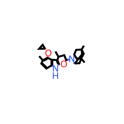 Cc1ccc2[nH]cc(C(C)CC(=O)N3C4CC5(C)CC3CC(C)(C4)C5)c2c1OC1CC1